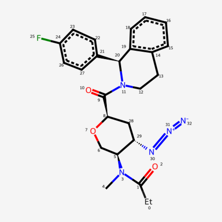 CCC(=O)N(C)[C@H]1CO[C@@H](C(=O)N2CCc3ccccc3[C@@H]2c2ccc(F)cc2)C[C@@H]1N=[N+]=[N-]